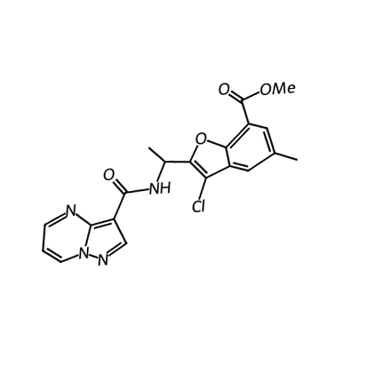 COC(=O)c1cc(C)cc2c(Cl)c(C(C)NC(=O)c3cnn4cccnc34)oc12